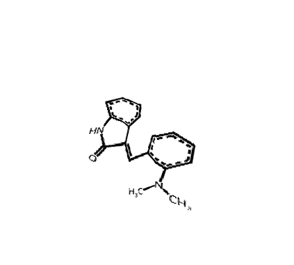 CN(C)c1ccccc1C=C1C(=O)Nc2ccccc21